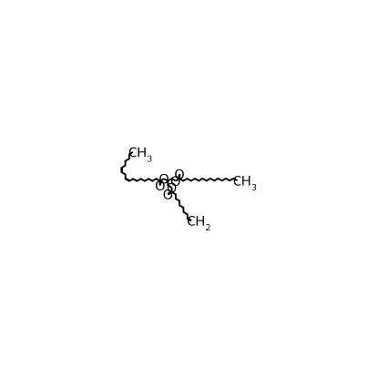 C=CCCCCCCCC(=O)OCC(COC(=O)CCCCCCCCCCCCCCC)OC(=O)CCCCCCC/C=C\C/C=C\CCCCC